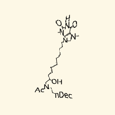 CCCCCCCCCCCCN(CC(O)CCCCCCCCCN1CN(C)c2c1n(C)c(=O)[nH]c2=O)C(C)=O